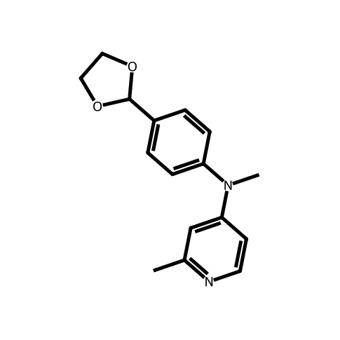 Cc1cc(N(C)c2ccc(C3OCCO3)cc2)ccn1